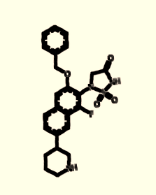 O=C1CN(c2c(OCc3ccccc3)cc3ccc(C4CCCNC4)cc3c2F)S(=O)(=O)N1